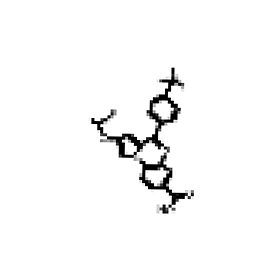 O=C(O)c1ccc2c(c1)nc(-c1ccc(C(F)(F)F)cc1)c1cc(OC(F)F)cn12